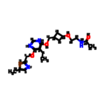 CCc1c(OCc2ncc(C)s2)ncnc1OCC1CC(OCCNC(C)=O)C1